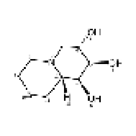 O[C@@H]1[C@H](O)[C@@H](O)CN2CCSC[C@@H]12